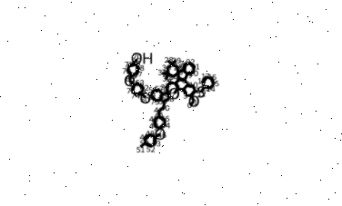 COc1cc2c3c(c4c(c2cc1Sc1ccccc1)-c1ccccc1C41CC(C)(C)CC(C)(C)C1)C=CC(CCCCc1ccc(Oc2ccc(C)cc2)cc1)(c1ccc(Oc2ccc(Oc4ccc(O)cc4)cc2)cc1)O3